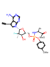 C#Cc1cn([C@@H]2O[C@H](COP(=O)(NC(C(=O)OC)C(C)C)Oc3ccc(OC)cc3)[C@@H](O)[C@@]2(C)F)c2ncnc(N)c12